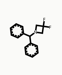 FC1(F)CN(C(c2ccccc2)c2ccccc2)C1